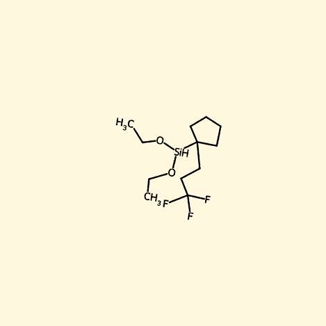 CCO[SiH](OCC)C1(CCC(F)(F)F)CCCC1